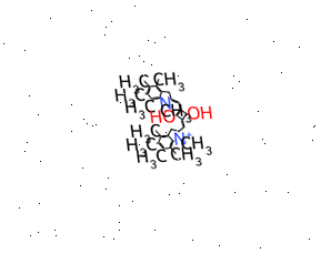 Cc1c(C)c(C)c2c(c1C)CC(=CC1=C(O)C(=CC3=[N+](C)c4c(C)c(C)c(C)c(C)c4C3)C1O)N2C